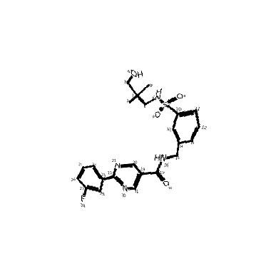 CC(C)(CO)CNS(=O)(=O)c1cccc(CNC(=O)c2cnc(-c3cccc(F)c3)nc2)c1